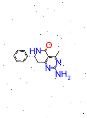 Cc1nc(N)nc2c1C(=O)N[C@@H](c1ccccc1)C2